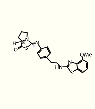 COc1cccc2sc(NCCc3ccc(/N=C4\SC(=O)[C@@H]5CCCN45)cc3)nc12